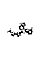 O=C(c1nnc(-c2ccn(C(F)F)n2)o1)N1CCc2[nH]cnc2[C@H]1c1cc2cccc(Cl)n2n1